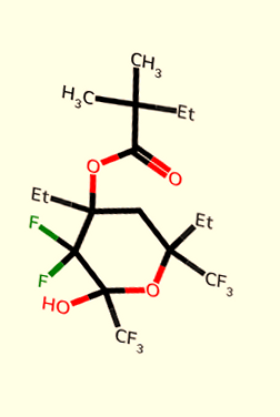 CCC(C)(C)C(=O)OC1(CC)CC(CC)(C(F)(F)F)OC(O)(C(F)(F)F)C1(F)F